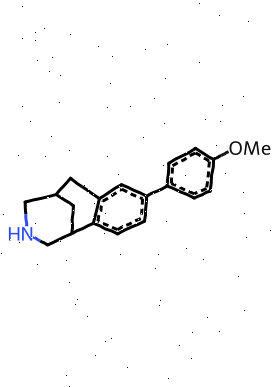 COc1ccc(-c2ccc3c(c2)CC2CNCC3C2)cc1